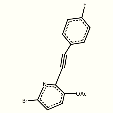 CC(=O)Oc1ccc(Br)nc1C#Cc1ccc(F)cc1